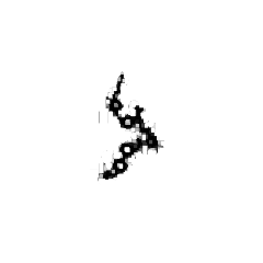 COCCOc1ccc(Nc2ccc3c(c2)c(C(C)=O)cn3CC(=O)N2C[C@H](F)C[C@H]2C(=O)Nc2cccc(-c3ccc4c(c3Cl)NC(=O)C4)c2F)cn1